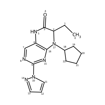 CCC1C(=O)Nc2cnc(-n3cccn3)nc2N1C1CCCC1